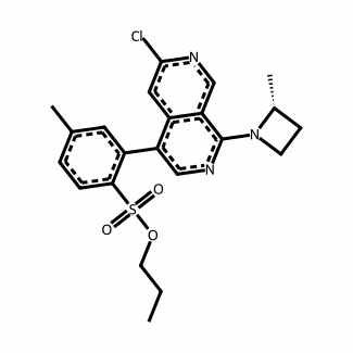 CCCOS(=O)(=O)c1ccc(C)cc1-c1cnc(N2CC[C@H]2C)c2cnc(Cl)cc12